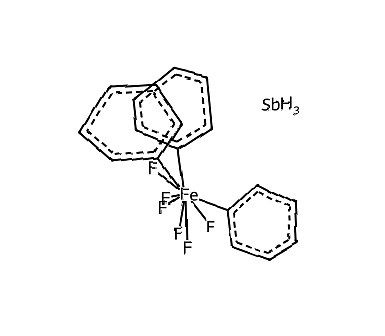 [F][Fe]([F])([F])([F])([F])([F])([c]1ccccc1)([c]1ccccc1)[c]1ccccc1.[SbH3]